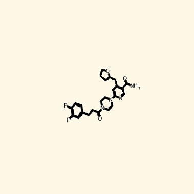 NC(=O)c1cnc(N2CCN(C(=O)CCc3ccc(F)c(F)c3)CC2)cc1CC1CCCO1